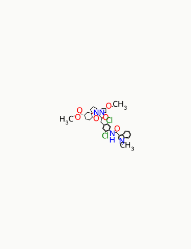 CCOC(=O)[C@H]1CC[C@H](OC(C(=O)Cc2cc(Cl)c(NC(=O)c3cn(C)c4ccccc34)cc2Cl)(N2CCCC2)N2CC(OCC)C2)CC1